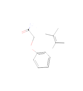 CC(C)=C(C)C.NC(=O)COc1ccccc1